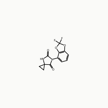 O=C1NC2(CC2)C(=O)N1c1cccc2c1OC(F)(F)O2